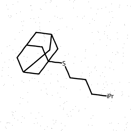 [CH2]C(C)CCCSC12CC3CC(CC(C3)C1)C2